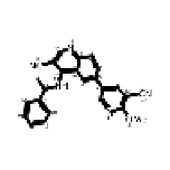 COc1ncc(-c2ccc3ncc(C#N)c(NC(C)c4ccccc4)c3c2)cc1C#N